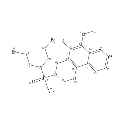 COc1c(C)c(COP(N)(=O)N(CCBr)CCBr)c(OC)c2ccccc12